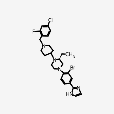 CC[C@H]1CN(c2ccc(-c3ncc[nH]3)cc2Br)CCN1C1CCN(Cc2ccc(Cl)cc2F)CC1